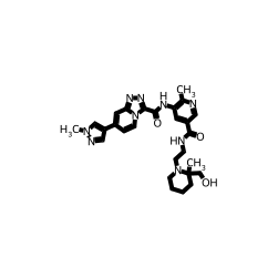 Cc1ncc(C(=O)NCCN2CCCCC2(C)CO)cc1NC(=O)c1nnc2cc(-c3cnn(C)c3)ccn12